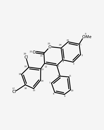 COc1ccc2c(-c3ccccc3)c(-c3ccc(Cl)cc3Cl)c(=O)oc2c1